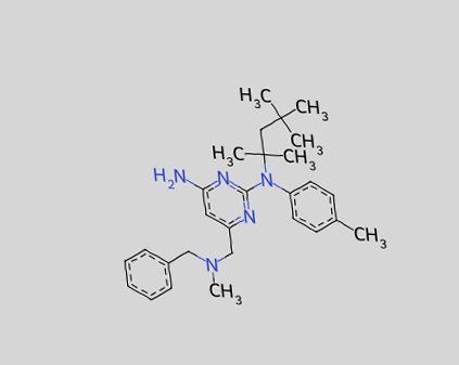 Cc1ccc(N(c2nc(N)cc(CN(C)Cc3ccccc3)n2)C(C)(C)CC(C)(C)C)cc1